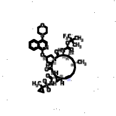 CC[C@@H]1C[C@H](C)CC/C=C\[C@@H]2C[C@@]2(C(=O)NS(=O)(=O)C2(C)CC2)NC(=O)[C@@H]2C[C@@H](Oc3ncc(N4CCOCC4)c4ccccc34)CN2C(=O)[C@H]1NC(=O)OC(C)(C)C(F)(F)F